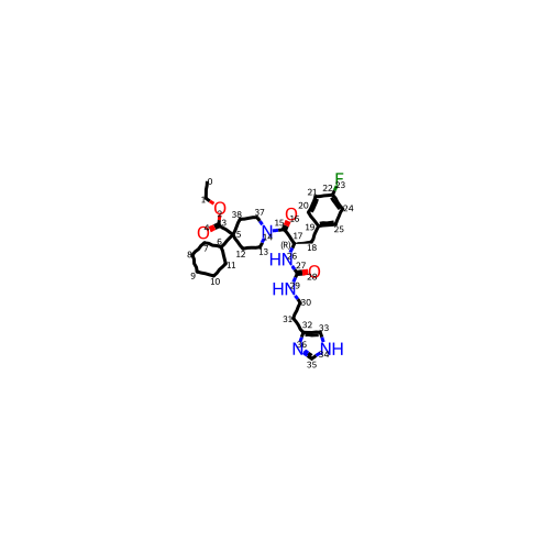 CCOC(=O)C1(C2CCCCC2)CCN(C(=O)[C@@H](Cc2ccc(F)cc2)NC(=O)NCCc2c[nH]cn2)CC1